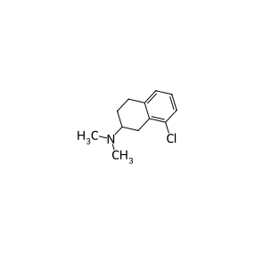 CN(C)C1CCc2cccc(Cl)c2C1